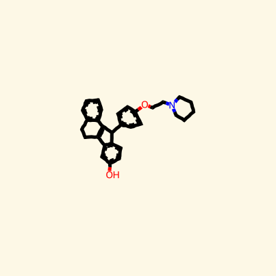 Oc1ccc2c(c1)C1=C(c3ccccc3CC1)C2c1ccc(OCCN2CCCCC2)cc1